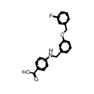 O=C(O)c1ccc(NCc2cccc(OCc3cccc(F)c3)c2)cc1